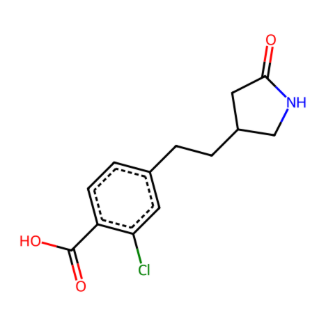 O=C1CC(CCc2ccc(C(=O)O)c(Cl)c2)CN1